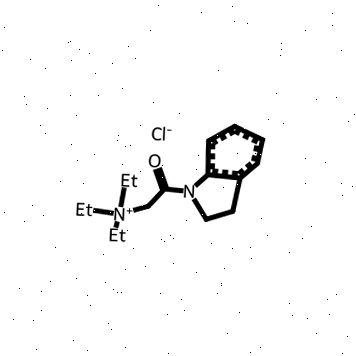 CC[N+](CC)(CC)CC(=O)N1CCc2ccccc21.[Cl-]